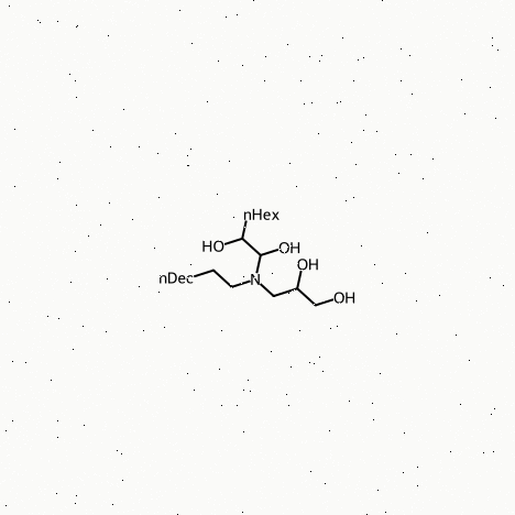 CCCCCCCCCCCCN(CC(O)CO)C(O)C(O)CCCCCC